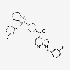 O=C(c1ccnc2c1ccn2Cc1cccc(F)c1)N1CCC(c2nc3ccccc3n2Cc2cccc(F)c2)CC1